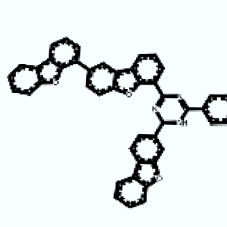 c1ccc(C2=NC(c3cccc4c3oc3ccc(-c5cccc6c5oc5ccccc56)cc34)=NC(c3ccc4c(c3)oc3ccccc34)N2)cc1